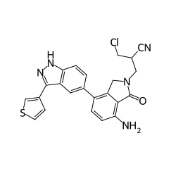 N#CC(CCl)CN1Cc2c(-c3ccc4[nH]nc(-c5ccsc5)c4c3)ccc(N)c2C1=O